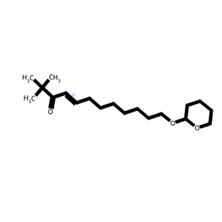 CC(C)(C)C(=O)/C=C/CCCCCCCOC1CCCCO1